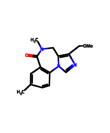 COCc1ncn2c1CN(C)C(=O)c1cc(C)ccc1-2